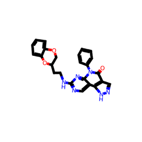 O=c1c2cn[nH]c2c2cnc(NCCC3COc4ccccc4O3)nc2n1-c1ccccc1